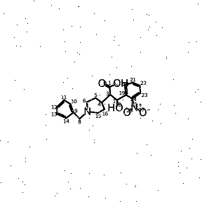 O=C(O)C(C1CCN(Cc2ccccc2)CC1)C(O)c1ccccc1[N+](=O)[O-]